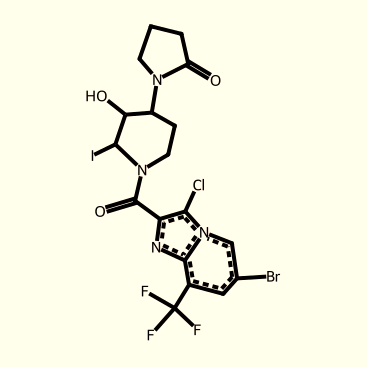 O=C(c1nc2c(C(F)(F)F)cc(Br)cn2c1Cl)N1CCC(N2CCCC2=O)C(O)C1I